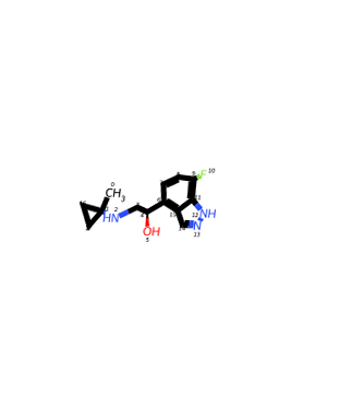 CC1(NC[C@H](O)c2ccc(F)c3[nH]ncc23)CC1